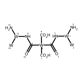 [NH2][W]([W])[NH][C](=O)[W]([C](=O)O)([C](=O)O)[C](=O)[NH][W]([NH2])[W]